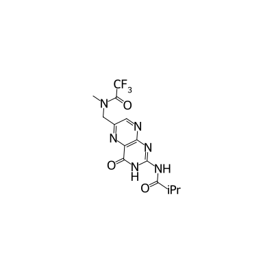 CC(C)C(=O)Nc1nc2ncc(CN(C)C(=O)C(F)(F)F)nc2c(=O)[nH]1